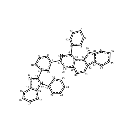 c1ccc(-c2nc(-c3cccc(-c4nc5ccccc5n4-c4ccccc4)c3)nc3ccc4c5ccccc5sc4c23)cc1